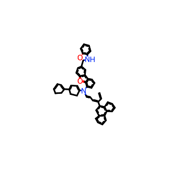 C=C/C(=C\C=C\N(C1=CC=C(C2=CC=CCC2)CC1)c1cccc2c1oc1ccc(C3Nc4ccccc4O3)cc12)c1cc2ccccc2c2ccccc12